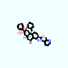 Cc1ncccc1NC(=O)c1ccc2c(c1)C(=O)C[C@@H]1C[C@@](O)(c3ccccc3)[C@](C)(O)C[C@@]21Cc1ccccc1